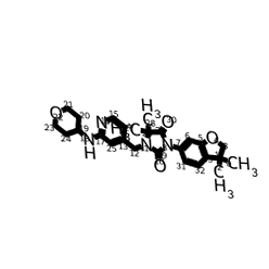 CC1(C)COc2cc(N3C(=O)N(Cc4ccnc(NC5CCOCC5)c4)C(C)(C)C3=O)ccc21